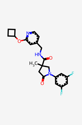 CC1(C(=O)NCc2ccnc(OC3CCC3)c2)CC(=O)N(c2cc(F)cc(F)c2)C1